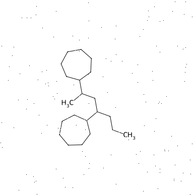 CCCC(CC(C)C1CCCCCC1)C1CCCCCC1